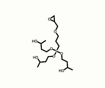 CC(O)CCO[Si](CCCOCC1CO1)(OCCC(C)O)OCCC(C)O